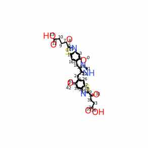 COc1cc2nc(C(=O)CCC(=O)O)sc2cc1Cc1nc[nH]c1Cc1cc2sc(C(=O)CCC(=O)O)nc2cc1OC